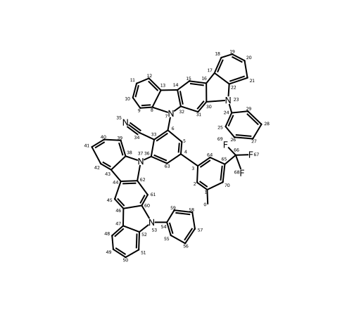 Cc1cc(-c2cc(-n3c4ccccc4c4cc5c6ccccc6n(-c6ccccc6)c5cc43)c(C#N)c(-n3c4ccccc4c4cc5c6ccccc6n(-c6ccccc6)c5cc43)c2)cc(C(F)(F)F)c1